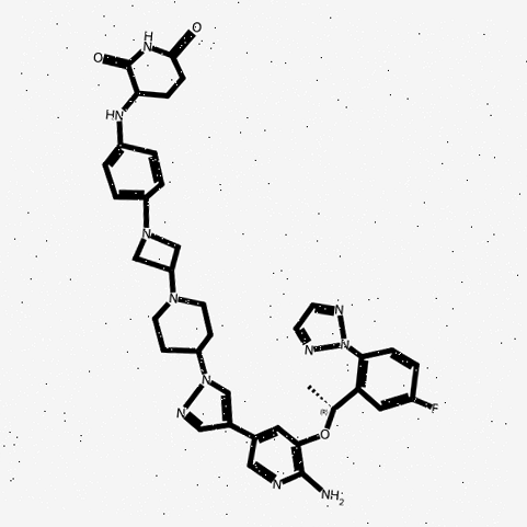 C[C@@H](Oc1cc(-c2cnn(C3CCN(C4CN(c5ccc(NC6CCC(=O)NC6=O)cc5)C4)CC3)c2)cnc1N)c1cc(F)ccc1-n1nccn1